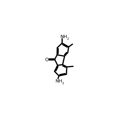 Cc1cc2c(cc1N)C(=O)c1cc(N)cc(C)c1-2